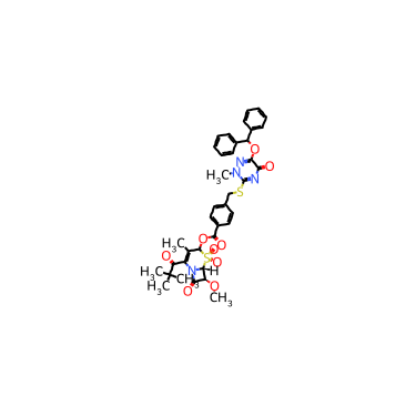 CO[C@H]1C(=O)N2C(C(=O)C(C)(C)C)=C(C)C(OC(=O)c3ccc(CSc4nc(=O)c(OC(c5ccccc5)c5ccccc5)nn4C)cc3)S(=O)(=O)[C@H]12